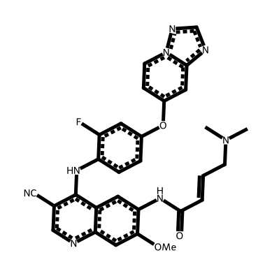 COc1cc2ncc(C#N)c(Nc3ccc(Oc4ccn5ncnc5c4)cc3F)c2cc1NC(=O)/C=C/CN(C)C